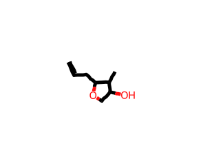 C=CCC1OCC(O)C1C